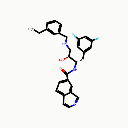 CCc1cccc(CNC[C@H](O)[C@H](Cc2cc(F)cc(F)c2)NC(=O)c2ccc3ccncc3c2)c1